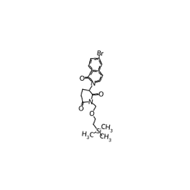 C[Si](C)(C)CCOCN1C(=O)CCC(n2ccc3cc(Br)ccc3c2=O)C1=O